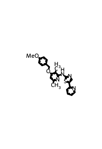 COc1ccc(COc2cc(C)nc(Nc3ncc(-c4ccccn4)s3)c2C)cc1